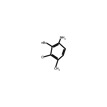 CCCCc1c(N)ccc(C)c1Cl